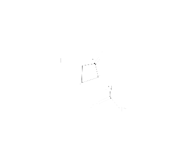 CC(C)C(=O)N[C@@H]1C[C@H](C(F)(F)F)C1=O